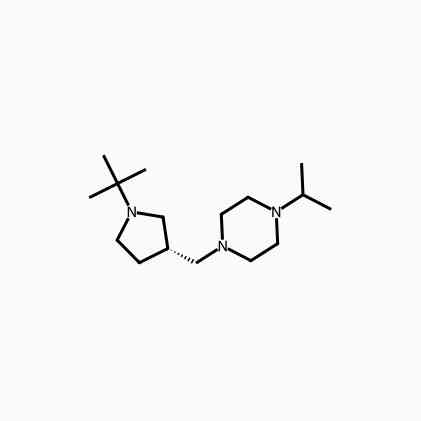 CC(C)N1CCN(C[C@@H]2CCN(C(C)(C)C)C2)CC1